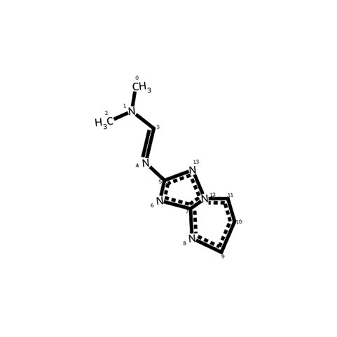 CN(C)/C=N/c1nc2ncccn2n1